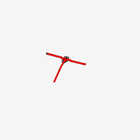 C#CC#CC#CC#CC#CC#CC#CC#CC#CC#CC#CC#C/C=C/C#CC#CC(=O)OC(C)(C)C(C)(OC(=O)C#CC#C/C=C/C#CC#CC#CC#CC#CC#CC#CC#CC#CC#CC#CC#C)C(C)(C)OC(=O)C#CC#C/C=C/C#CC#CC#CC#CC#CC#CC#CC#CC#CC#CC#CC#C